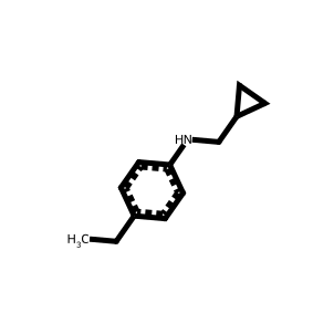 CCc1ccc(NCC2CC2)cc1